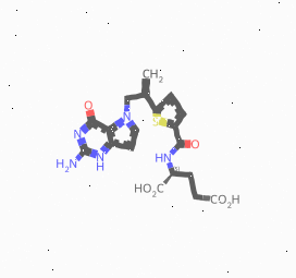 C=C(Cn1ccc2[nH]c(N)nc(=O)c21)c1ccc(C(=O)N[C@@H](CCC(=O)O)C(=O)O)s1